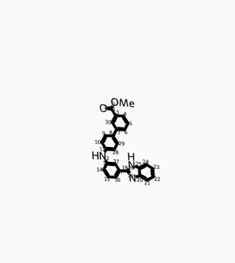 COC(=O)c1cccc(-c2ccc(Nc3cccc(-c4nc5ccccc5[nH]4)c3)cc2)c1